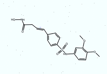 COc1ccc(NS(=O)(=O)c2ccc(/C=C/CC(=O)NO)cc2)cc1OC